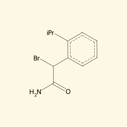 CC(C)c1ccccc1C(Br)C(N)=O